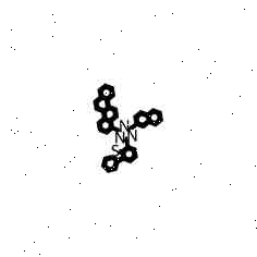 c1ccc2cc(-c3nc(-c4cccc5c4ccc4c6ccccc6ccc54)nc(-c4cccc5c4sc4ccccc45)n3)ccc2c1